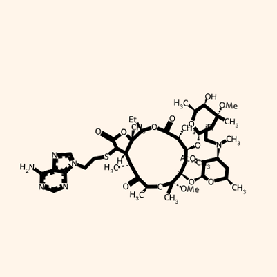 CC[C@H]1OC(=O)[C@H](C)[C@@H](O[C@H]2C[C@@](C)(OC)[C@@H](O)[C@H](C)O2)[C@H](C)[C@@H](O[C@@H]2O[C@H](C)C[C@H](N(C)CC(C)C)[C@H]2OC(C)=O)[C@](C)(OC)C[C@@H](C)C(=O)[C@H](C)[C@H]2C(SCCn3cnc4c(N)ncnc43)C(=O)O[C@@]21C